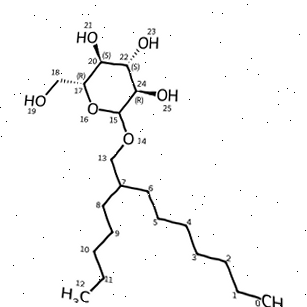 CCCCCCCC(CCCCC)COC1O[C@H](CO)[C@@H](O)[C@H](O)[C@H]1O